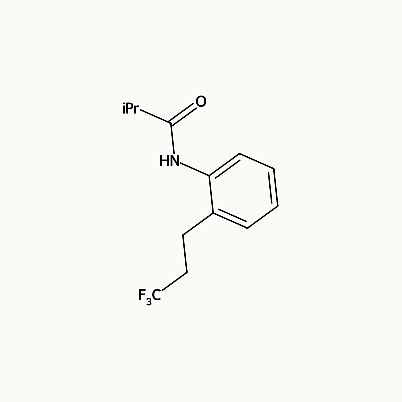 CC(C)C(=O)Nc1ccccc1CCC(F)(F)F